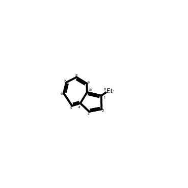 C[CH]c1ccc2cccccc1-2